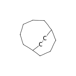 C1CCC2CCCC(CC1)CC2